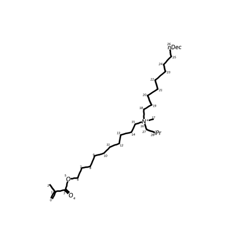 C=C(C)C(=O)OCCCCCCCCCC[N+](C)(CCCCCCCCCCCCCCCCCC)CC(C)C